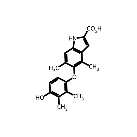 Cc1cc2[nH]c(C(=O)O)cc2c(C)c1Oc1ccc(O)c(C)c1C